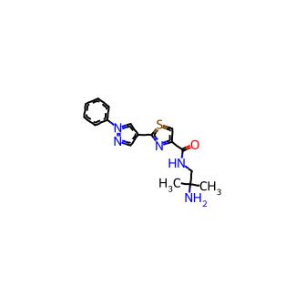 CC(C)(N)CNC(=O)c1csc(-c2cnn(-c3ccccc3)c2)n1